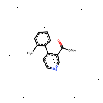 COC(=O)c1cnccc1-c1ccccc1C